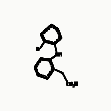 O=C(O)Cc1ccccc1Nc1ccccc1Br